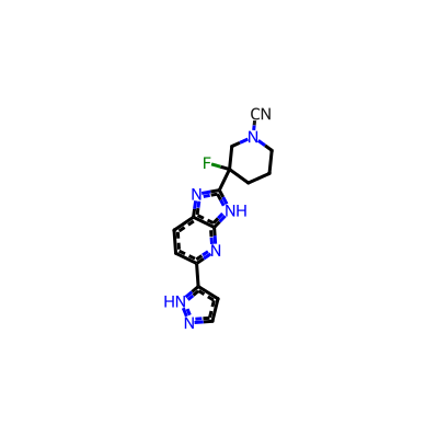 N#CN1CCCC(F)(c2nc3ccc(-c4ccn[nH]4)nc3[nH]2)C1